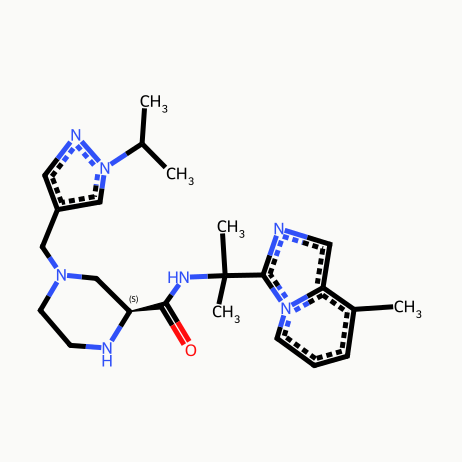 Cc1cccn2c(C(C)(C)NC(=O)[C@@H]3CN(Cc4cnn(C(C)C)c4)CCN3)ncc12